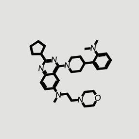 CN(C)c1ccccc1C1CCN(c2nc(C3CCCC3)nc3ccc(N(C)CCN4CCOCC4)cc23)CC1